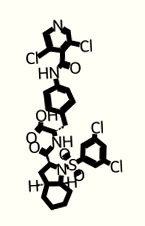 O=C(Nc1ccc(C[C@H](NC(=O)[C@@H]2C[C@@H]3CCCC[C@@H]3N2S(=O)(=O)c2cc(Cl)cc(Cl)c2)C(=O)O)cc1)c1c(Cl)cncc1Cl